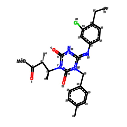 COC(=O)[C@H](C)[C@H](C)n1c(=O)[nH]/c(=N\c2ccc(CC(C)C)c(Cl)c2)n(Cc2ccc(C)cc2)c1=O